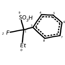 CCC(F)(c1ccccc1)S(=O)(=O)O